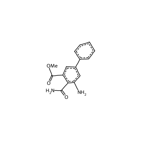 COC(=O)c1cc(-c2ccccc2)cc(N)c1C(N)=O